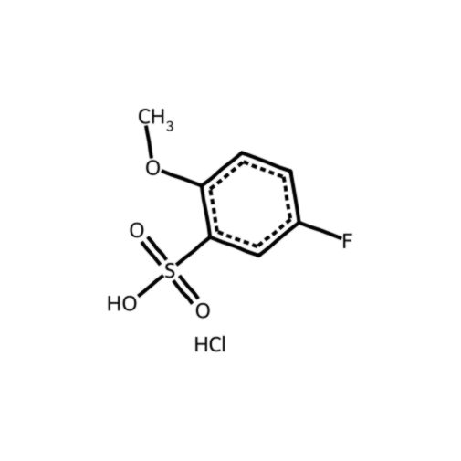 COc1ccc(F)cc1S(=O)(=O)O.Cl